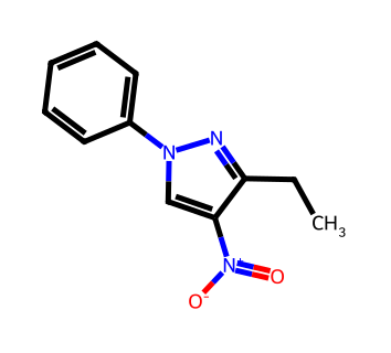 CCc1nn(-c2ccccc2)cc1[N+](=O)[O-]